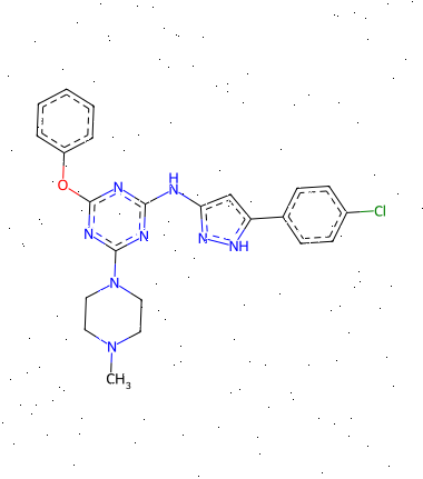 CN1CCN(c2nc(Nc3cc(-c4ccc(Cl)cc4)[nH]n3)nc(Oc3ccccc3)n2)CC1